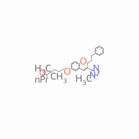 CCCC(=O)C(C)(C)CCCOc1ccc2c(c1)C=C(c1nccn1C)C(CCc1ccccc1)O2